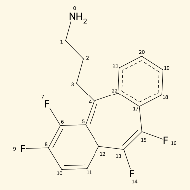 NCCCC1=C2C(F)=C(F)C=CC2C(F)=C(F)c2ccccc21